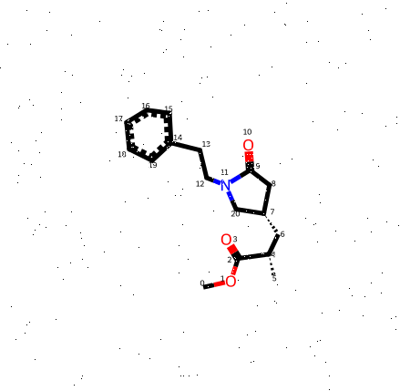 COC(=O)[C@@H](C)C[C@H]1CC(=O)N(CCc2ccccc2)C1